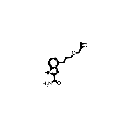 NC(=O)c1cc2c(CCCOCC3CO3)cccc2[nH]1